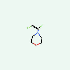 F/C=C(/F)N1CCOCC1